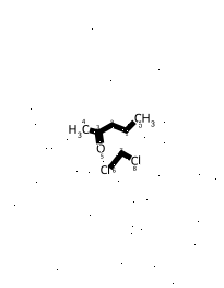 CCCC(C)=O.ClCCl